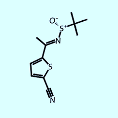 C/C(=N\[S@+]([O-])C(C)(C)C)c1ccc(C#N)s1